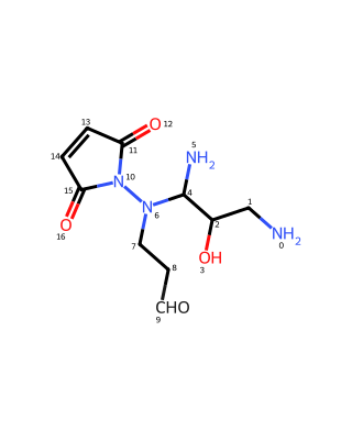 NCC(O)C(N)N(CCC=O)N1C(=O)C=CC1=O